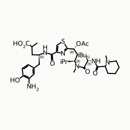 CC[C@H](C)[C@H](NC(=O)C1CCCCN1C)C(=O)N(C)[C@H](C[C@@H](OC(C)=O)c1nc(C(=O)N[C@@H](Cc2ccc(O)c(N)c2)CC(C)C(=O)O)cs1)C(C)C